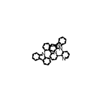 N#Cc1cccc(-n2c3ccccc3c3ccccc32)c1-c1cccc(-c2ncccc2-n2c3ccccc3c3ccccc32)n1